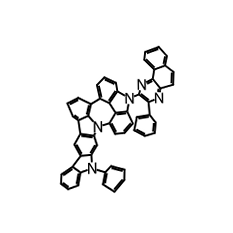 c1ccc(-c2nc3ccc4ccccc4c3nc2-n2c3cccc4c5cccc6c7cc8c9ccccc9n(-c9ccccc9)c8cc7n(c7cccc2c7c43)c56)cc1